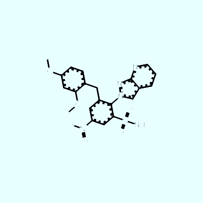 COc1ccc(Cc2cc([N+](=O)[O-])cc(S(N)(=O)=O)c2-n2cc3cccnc3n2)c(OC)c1